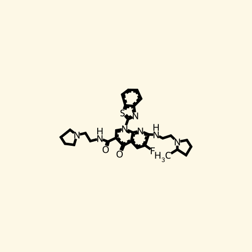 CC1CCCN1CCNc1nc2c(cc1F)c(=O)c(C(=O)NCCN1CCCC1)cn2-c1nc2ccccc2s1